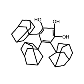 Oc1c(O)c(C23CC4CC(CC(C4)C2)C3)c(C23CC4CC(CC(C4)C2)C3)c(C23CC4CC(CC(C4)C2)C3)c1O